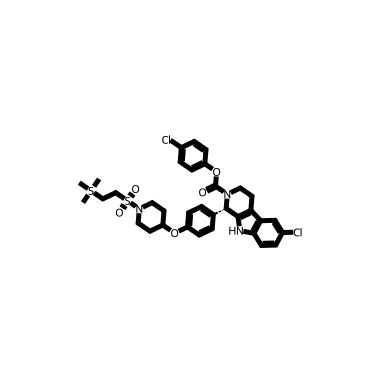 CS(C)(C)CCS(=O)(=O)N1CCC(Oc2ccc([C@H]3c4[nH]c5ccc(Cl)cc5c4CCN3C(=O)Oc3ccc(Cl)cc3)cc2)CC1